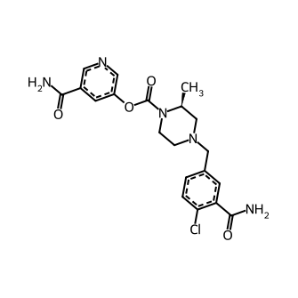 C[C@H]1CN(Cc2ccc(Cl)c(C(N)=O)c2)CCN1C(=O)Oc1cncc(C(N)=O)c1